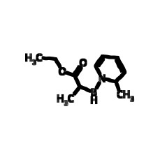 CCOC(=O)C(C)BN1C=CC=CC1C